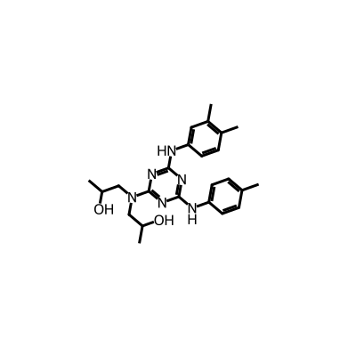 Cc1ccc(Nc2nc(Nc3ccc(C)c(C)c3)nc(N(CC(C)O)CC(C)O)n2)cc1